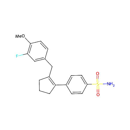 COc1ccc(CC2=C(c3ccc(S(N)(=O)=O)cc3)CCC2)cc1F